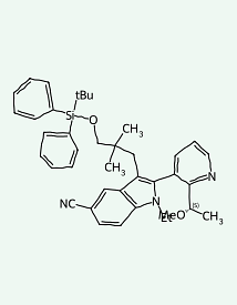 CCn1c(-c2cccnc2[C@H](C)OC)c(CC(C)(C)CO[Si](c2ccccc2)(c2ccccc2)C(C)(C)C)c2cc(C#N)ccc21